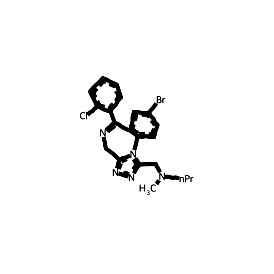 CCCN(C)Cc1nnc2n1-c1ccc(Br)cc1C(c1ccccc1Cl)=NC2